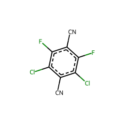 N#Cc1c(F)c(Cl)c(C#N)c(Cl)c1F